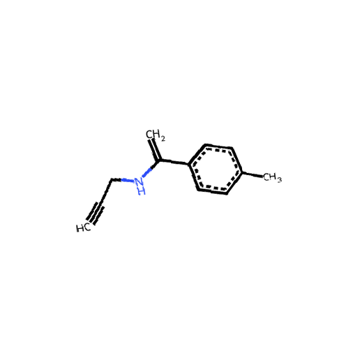 C#CCNC(=C)c1ccc(C)cc1